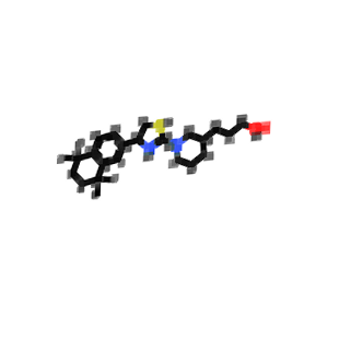 CC1(C)CCC(C)(C)c2cc(C3CSC(N4CCCC(CCCO)C4)=N3)ccc21